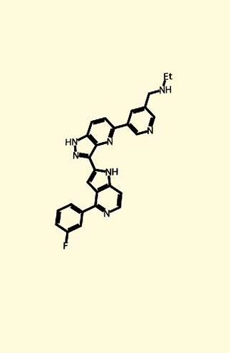 CCNCc1cncc(-c2ccc3[nH]nc(-c4cc5c(-c6cccc(F)c6)nccc5[nH]4)c3n2)c1